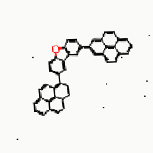 c1cc2ccc3cc(-c4ccc5oc6ccc(-c7ccc8ccc9cccc%10ccc7c8c9%10)cc6c5c4)cc4ccc(c1)c2c34